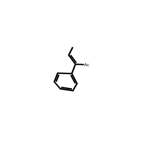 CC=C(C(C)=O)c1ccccc1